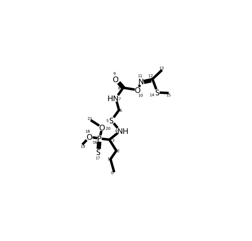 CCCC(NSCNC(=O)ON=C(C)SC)P(=S)(OC)OC